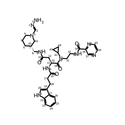 NN=CN1CCC[C@@H](CNC(=O)C[C@H](NC(=O)CCc2c[nH]c3ccccc23)C(=O)N(CCNC(=O)c2cnccn2)C2CC2)C1